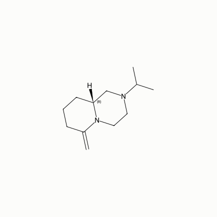 C=C1CCC[C@@H]2CN(C(C)C)CCN12